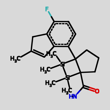 CC1=Cc2c(C34CCCC3(C([NH])=O)[Si](C)(C)[Si]4(C)C)ccc(F)c2C1